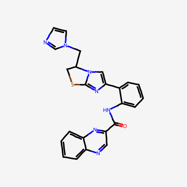 O=C(Nc1ccccc1-c1cn2c(n1)SCC2Cn1ccnc1)c1cnc2ccccc2n1